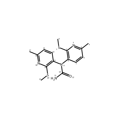 CSc1nc(C)ccc1N(C(N)=O)c1ccc(C)nc1SC